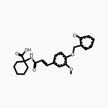 COc1cc(/C=C/C(=O)NC2(C(=O)O)CCCCC2)ccc1OCc1ccccc1Cl